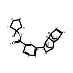 CC1(OC(=O)c2cccc(C3CC4CC3C3C5C=CC(C5)C43)c2)CCCC1